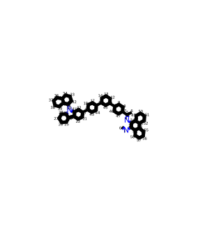 C=Nc1c(/N=C(\C)c2ccc(-c3cccc(-c4ccc(-c5ccc6c7ccccc7n(-c7cccc8ccccc78)c6c5)cc4)c3)cc2)c2ccccc2c2ccccc12